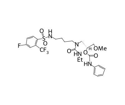 CCNC(=O)N(CCCCNS(=O)(=O)c1ccc(F)cc1C(F)(F)F)C[C@H](COC)OC(=O)Nc1ccccc1